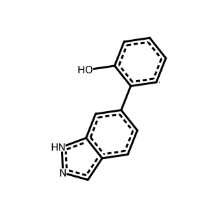 Oc1ccc[c]c1-c1ccc2cn[nH]c2c1